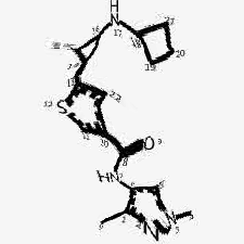 Cc1nn(C)cc1NC(=O)c1csc(C2CC2NC2CCC2)c1